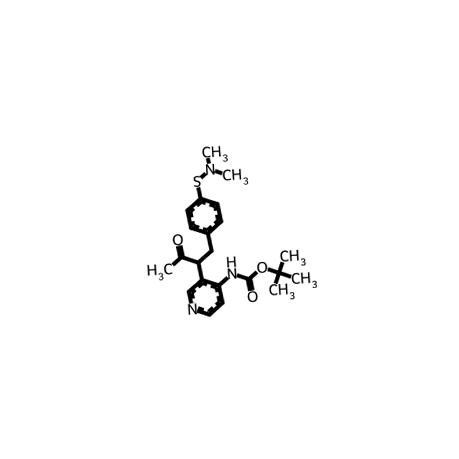 CC(=O)C(Cc1ccc(SN(C)C)cc1)c1cnccc1NC(=O)OC(C)(C)C